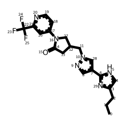 CCCc1c[nH]c(-c2cnn(CC3CC(=O)N(c4ccnc(C(F)(F)F)c4)C3)c2)n1